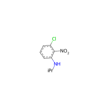 CC(C)Nc1cccc(Cl)c1[N+](=O)[O-]